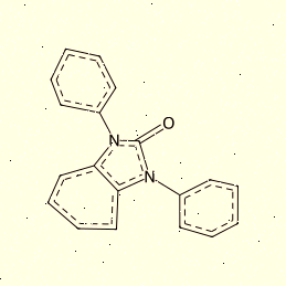 O=c1n(-c2ccccc2)c2ccccc2n1-c1ccccc1